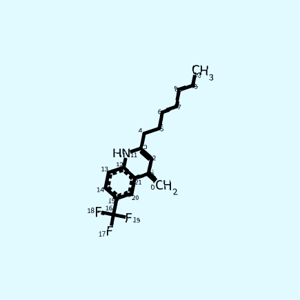 C=C1C=C(CCCCCCC)Nc2ccc(C(F)(F)F)cc21